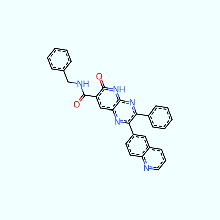 O=C(NCc1ccccc1)c1cc2nc(-c3ccc4ncccc4c3)c(-c3ccccc3)nc2[nH]c1=O